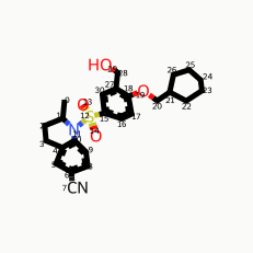 CC1CCc2cc(C#N)ccc2N1S(=O)(=O)c1ccc(OCC2CCCCC2)c(CO)c1